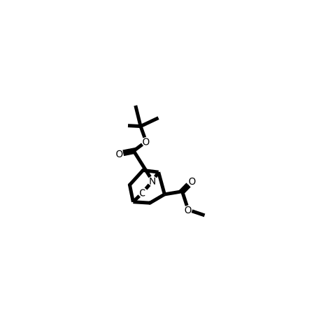 COC(=O)C1CC2CCC1N(C(=O)OC(C)(C)C)C2